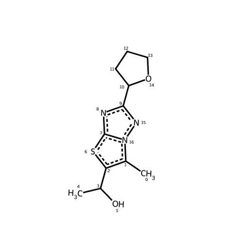 Cc1c(C(C)O)sc2nc(C3CCCO3)nn12